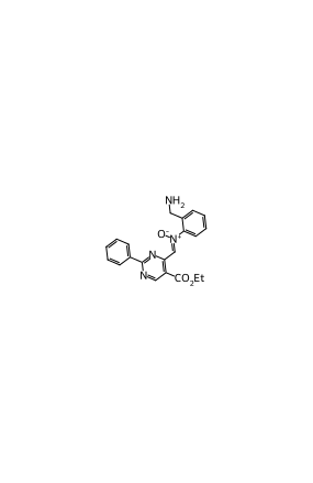 CCOC(=O)c1cnc(-c2ccccc2)nc1C=[N+]([O-])c1ccccc1CN